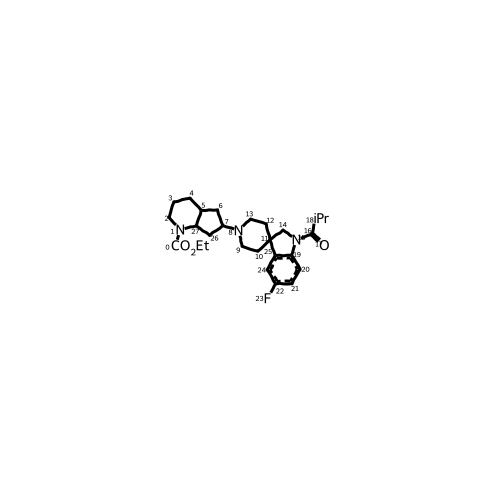 CCOC(=O)N1CCCC2CC(N3CCC4(CC3)CN(C(=O)C(C)C)c3ccc(F)cc34)CC21